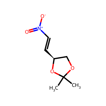 CC1(C)OC[C@H](/C=C/[N+](=O)[O-])O1